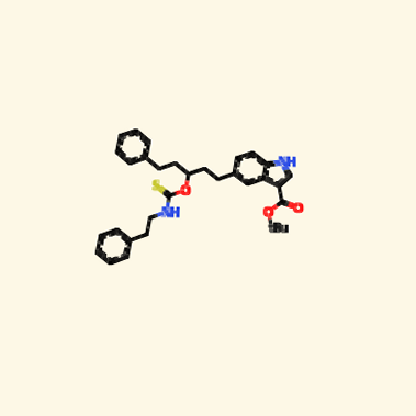 CC(C)(C)OC(=O)c1c[nH]c2ccc(CCC(CCc3ccccc3)OC(=S)NCCc3ccccc3)cc12